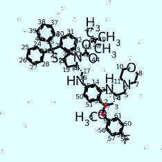 COCC[C@@H](CN1CCOCC1)Nc1cc(NC[C@@H]2C[C@H](SC(c3ccccc3)(c3ccccc3)c3ccccc3)CN2C(=O)OC(C)(C)C)ccc1CCc1ccc(F)cc1